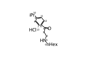 CCCCCCNCCC(=O)c1ccc(C(C)C)cc1.Cl